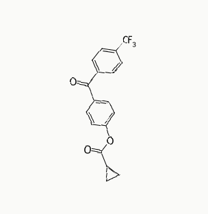 O=C(c1ccc(OC(=O)C2CC2)cc1)c1ccc(C(F)(F)F)cc1